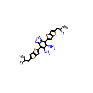 CCCCC(CC)Cc1cc2sc(-c3c(N)c(N)c(-c4cc5sc(CC(CC)CCCC)cc5s4)c4nsnc34)cc2s1